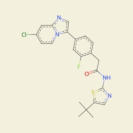 CC(C)(C)c1cnc(NC(=O)Cc2ccc(-c3cnc4cc(Cl)ccn34)cc2F)s1